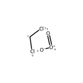 ClCCl.O=[O+][O-]